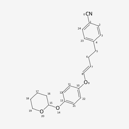 N#Cc1ccc(CCC=COc2ccc(OC3CCCCO3)cc2)cc1